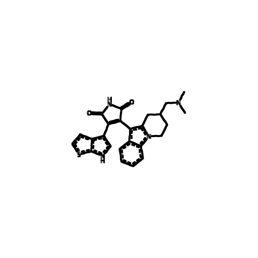 CN(C)CC1CCn2c(c(C3=C(c4c[nH]c5sccc45)C(=O)NC3=O)c3ccccc32)C1